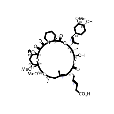 CO[C@H]1C[C@@H](C)C/C(C)=C/[C@@H](C/C=C/CC(=O)O)C(=O)C[C@H](O)[C@@H](C)[C@@H](/C(C)=C/[C@@H]2CC[C@@H](O)[C@H](OC)C2)OC(=O)[C@@H]2CCCCN2C(=O)C(=O)[C@]2(O)O[C@H]1[C@@H](OC)C[C@H]2C